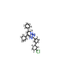 Clc1cccc(-c2cccc(-c3nc4c(-c5ccccc5)cc(-c5ccccc5)cn4n3)c2)c1